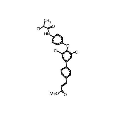 COC(=O)C=Cc1ccc(-c2cc(Cl)c(Oc3ccc(NC(=O)C(C)Cl)cc3)c(Cl)c2)cc1